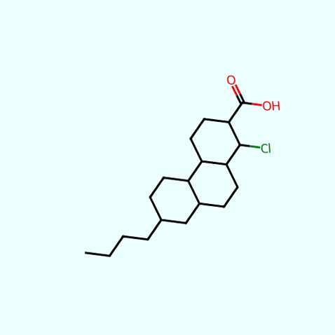 CCCCC1CCC2C(CCC3C(Cl)C(C(=O)O)CCC23)C1